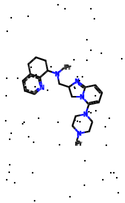 CC(C)N1CCN(C2=CC=CC3=NC(CN(C(C)C)C4CCCc5cccnc54)CN23)CC1